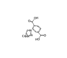 O=C(O)c1ccc(C(=O)O)cc1.[Cd].c1c[nH]nn1